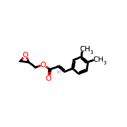 Cc1ccc(/C=C/C(=O)OCC2CO2)cc1C